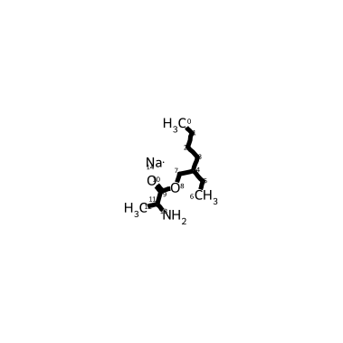 CCCCC(CC)COC(=O)C(C)N.[Na]